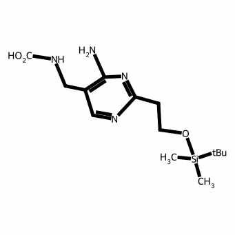 CC(C)(C)[Si](C)(C)OCCc1ncc(CNC(=O)O)c(N)n1